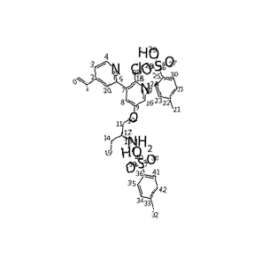 C=Cc1ccnc(-c2cc(OC[C@@H](N)CC)cnc2Cl)c1.Cc1ccc(S(=O)(=O)O)cc1.Cc1ccc(S(=O)(=O)O)cc1